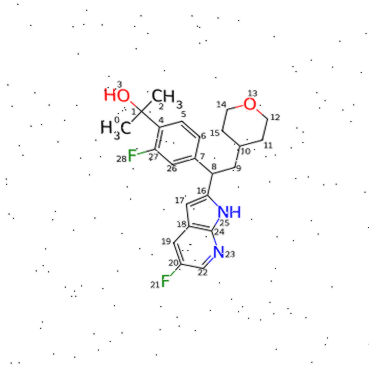 CC(C)(O)c1ccc(C(CC2CCOCC2)c2cc3cc(F)cnc3[nH]2)cc1F